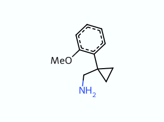 COc1ccccc1C1(CN)CC1